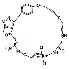 Cc1onc2c1C(=O)/N=C(\N)NCc1cc(Cl)c(c(Cl)c1)NC(=O)CNCCC/C=C\COc1ccc-2cc1